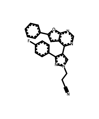 N#CCCn1cc(-c2ncnc3oc(-c4ccccc4)cc23)c(-c2ccc(F)cc2)n1